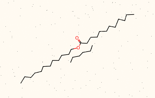 CCCCCC.CCCCCCCCCCCCOC(=O)CCCCCCCCCCC